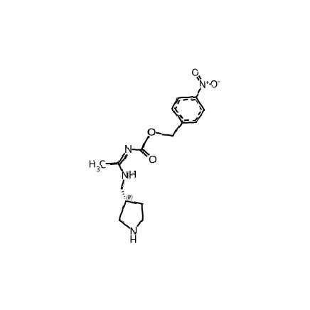 CC(=NC(=O)OCc1ccc([N+](=O)[O-])cc1)NC[C@@H]1CCNC1